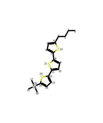 CCCCc1ccc(-c2ccc(-c3ccc([Si](C)(C)C)s3)s2)s1